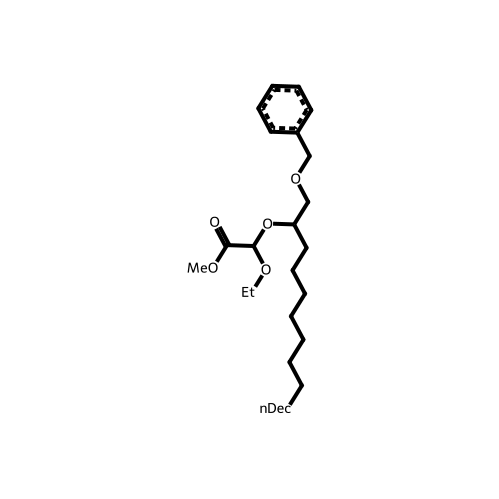 CCCCCCCCCCCCCCCCCC(COCc1ccccc1)OC(OCC)C(=O)OC